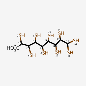 O=C(O)C(S)C(S)C(S)C(S)C(S)C(S)C(S)C(S)S